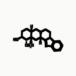 O=C(O)[C@H]1[C@H]2C[C@H]3C4=Nc5ccccc5C4CCN3C[C@H]2CC[C@@H]1O